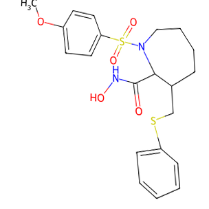 COc1ccc(S(=O)(=O)N2CCCCC(CSc3ccccc3)C2C(=O)NO)cc1